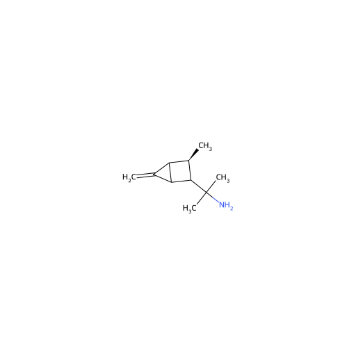 C=C1C2C1[C@@H](C)C2C(C)(C)N